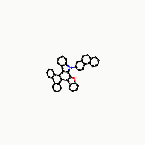 c1ccc2c(c1)ccc1cc(-n3c4ccccc4c4c5c6ccccc6c6ccccc6c5c5c6ccccc6oc5c43)ccc12